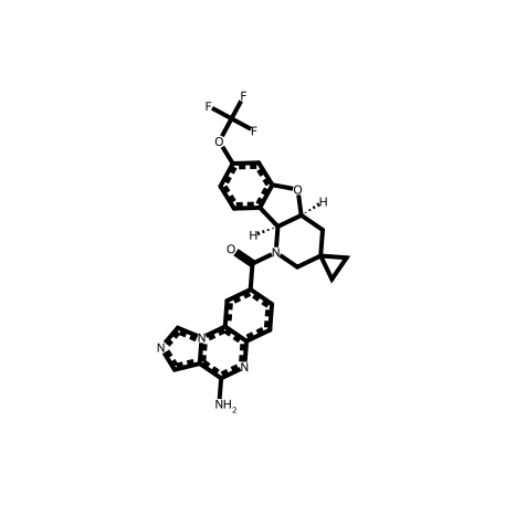 Nc1nc2ccc(C(=O)N3CC4(CC4)C[C@@H]4Oc5cc(OC(F)(F)F)ccc5[C@@H]43)cc2n2cncc12